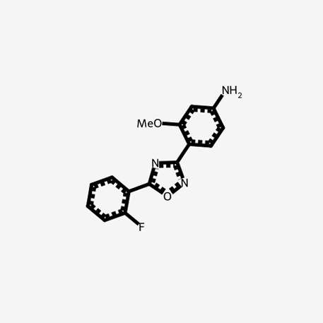 COc1cc(N)ccc1-c1noc(-c2ccccc2F)n1